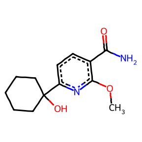 COc1nc(C2(O)CCCCC2)ccc1C(N)=O